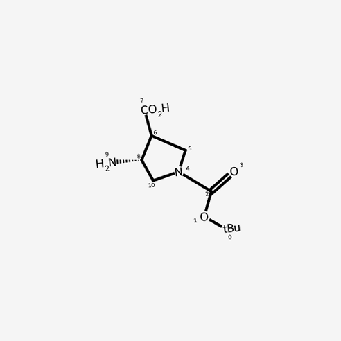 CC(C)(C)OC(=O)N1CC(C(=O)O)[C@@H](N)C1